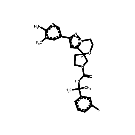 CC(C)(NC(=O)N1CC[C@]2(C1)OCCn1nc(-c3cnc(N)c(C(F)(F)F)c3)cc12)c1cccc(F)c1